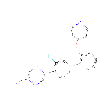 Nc1cnc(-c2ccc(-c3ccccc3Oc3ccncc3)cc2F)cn1